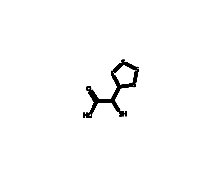 O=C(O)C(S)C1SSSS1